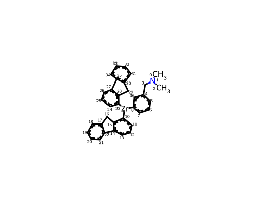 CN(C)Cc1[c]cc[c]([Zr]([c]2cccc3c2Cc2ccccc2-3)[c]2cccc3c2Cc2ccccc2-3)c1